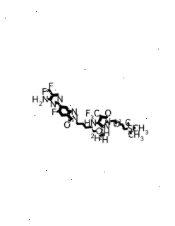 [2H]C([2H])([2H])OC[C@@H](CCCn1cnc2cc(-c3ncc(C(F)F)c(N)n3)c(F)cc2c1=O)Nc1cnn(COCC[Si](C)(C)C)c(=O)c1C(F)(F)F